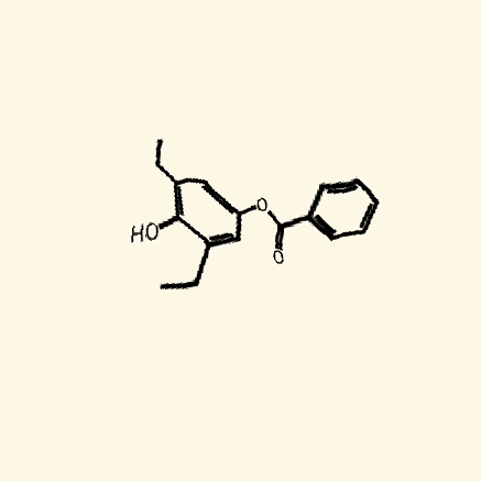 CCc1cc(OC(=O)c2ccccc2)cc(CC)c1O